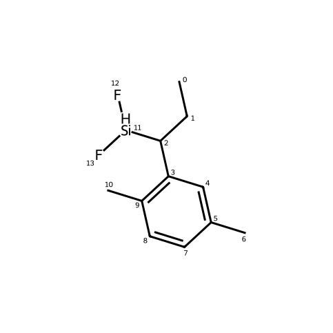 CCC(c1cc(C)ccc1C)[SiH](F)F